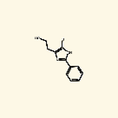 OCCc1nc(-c2ccccc2)[nH]c1Cl